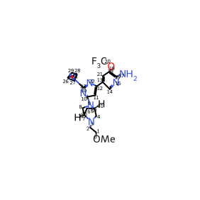 COCCN1C[C@@H]2C[C@H]1CN2c1cc(-c2cnc(N)c(OC(F)(F)F)c2)nc(N2CC3CC2C3)n1